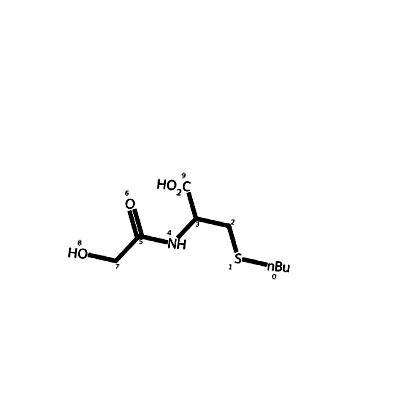 CCCCSCC(NC(=O)CO)C(=O)O